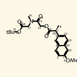 COc1ccc2cc([C@H](C)C(=O)OCC(=O)N(C)CC(=O)OC(C)(C)C)ccc2c1